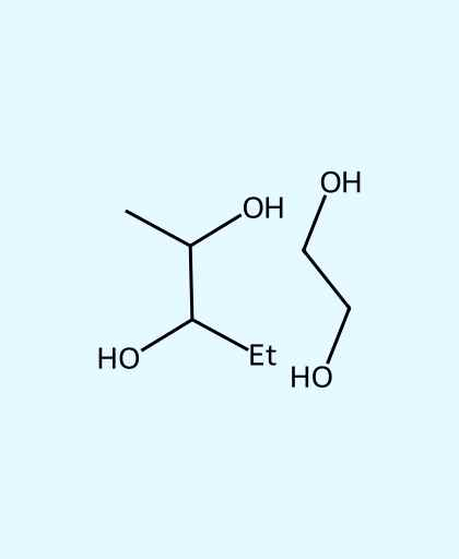 CCC(O)C(C)O.OCCO